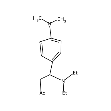 CCN(CC)C(CC(C)=O)c1ccc(N(C)C)cc1